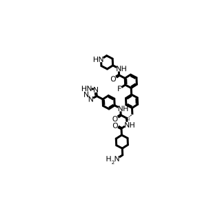 NCC1CCC(C(=O)N[C@@H](Cc2ccc(-c3cccc(C(=O)NC4CCNCC4)c3F)cc2)C(=O)Nc2ccc(-c3nn[nH]n3)cc2)CC1